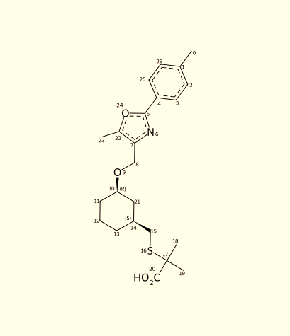 Cc1ccc(-c2nc(CO[C@@H]3CCC[C@H](CSC(C)(C)C(=O)O)C3)c(C)o2)cc1